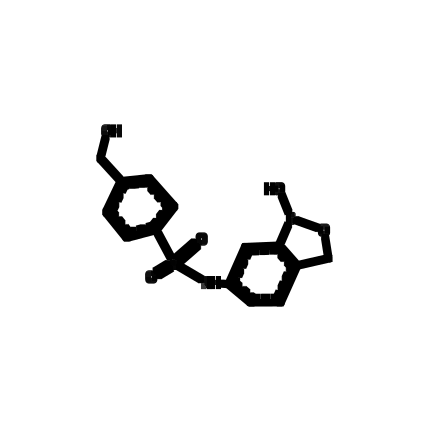 O=S(=O)(Nc1ccc2c(c1)B(O)OC2)c1ccc(CO)cc1